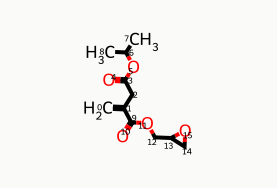 C=C(CC(=O)OC(C)C)C(=O)OCC1CO1